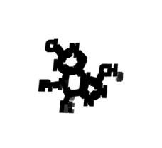 CC[C@@H]1c2nnc(C)n2-c2cnc(Cl)nc2N1C(C)C